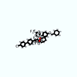 NC1CC2CCC(C1)N2C(=O)[C@H](N(OC(=O)C(F)(F)F)S(=O)(=O)c1ccc(OCC2CCCCC2)cc1)C(F)(F)c1ccc(-c2ccc(Cl)cc2)cc1